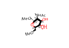 COC[C@H]1O[C@H](OC)[C@@H](NC(C)=O)[C@@H](O)[C@@H]1O